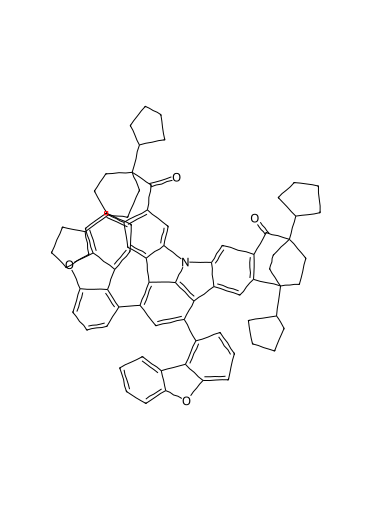 O=C1c2cc3c(cc2C2(C4CCCC4)CCC1(C1CCCC1)CC2)c1c(-c2cccc4oc5ccccc5c24)cc(-c2cccc4oc5ccccc5c24)c2c4cc5c(cc4n3c12)C(=O)C1(C2CCCC2)CCC5(C2CCCC2)CC1